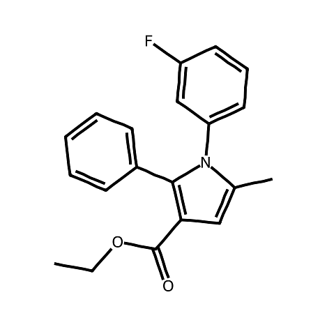 CCOC(=O)c1cc(C)n(-c2cccc(F)c2)c1-c1ccccc1